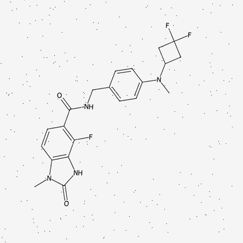 CN(c1ccc(CNC(=O)c2ccc3c([nH]c(=O)n3C)c2F)cc1)C1CC(F)(F)C1